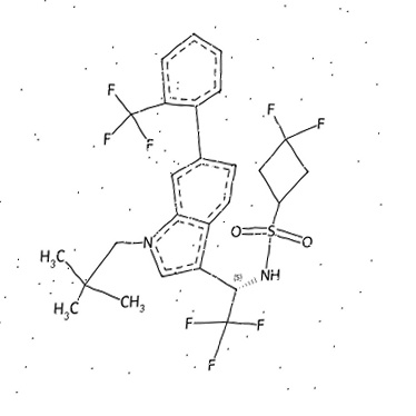 CC(C)(C)Cn1cc([C@H](NS(=O)(=O)C2CC(F)(F)C2)C(F)(F)F)c2ccc(-c3ccccc3C(F)(F)F)cc21